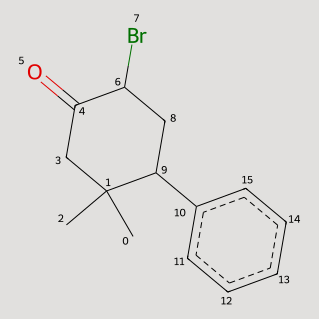 CC1(C)CC(=O)C(Br)CC1c1ccccc1